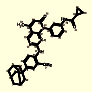 COc1cc(C23CC4CC(CC(C4)C2)C3)ccc1Nc1ncc2c(C)cc(=O)n(-c3cccc(NC(=O)C4CC4)c3)c2n1